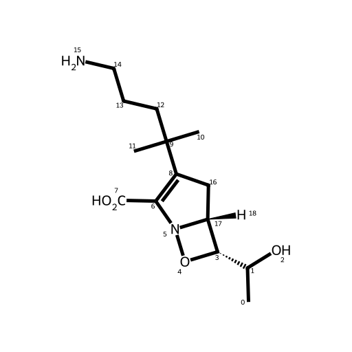 CC(O)[C@@H]1ON2C(C(=O)O)=C(C(C)(C)CCCN)C[C@H]12